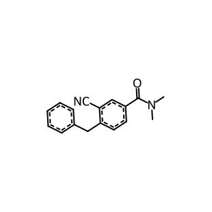 CN(C)C(=O)c1ccc(Cc2ccccc2)c(C#N)c1